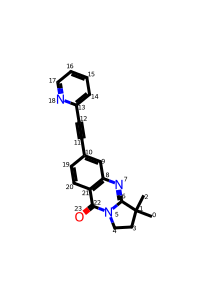 CC1(C)CCn2c1nc1cc(C#Cc3ccccn3)ccc1c2=O